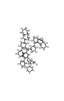 CC1(C)c2ccccc2-c2cccc(-c3ccc(N(c4cccc(-c5cccc6oc7ccccc7c56)c4)c4cc(-c5ccc6ccccc6c5)ccc4-c4ccccc4)cc3)c21